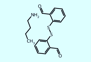 CCCCN.O=Cc1ccccc1SSc1ccccc1C=O